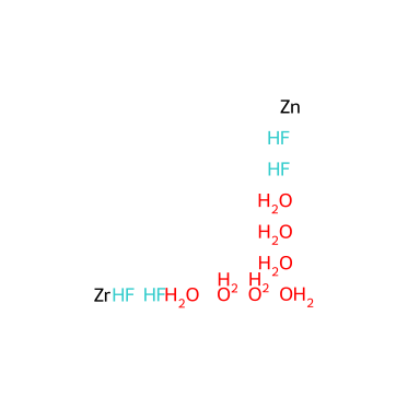 F.F.F.F.O.O.O.O.O.O.O.[Zn].[Zr]